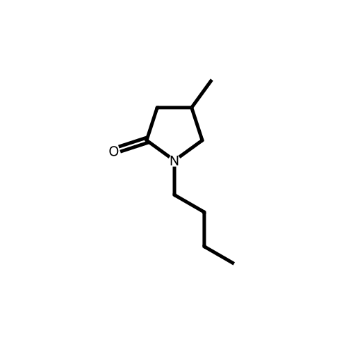 CCCCN1CC(C)CC1=O